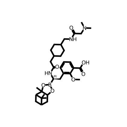 COc1c(C[C@H](NC(=O)CC2CCC(CNC(=O)CN(C)C)CC2)B2OC3CC4CC(C4(C)C)C3(C)O2)cccc1C(=O)O